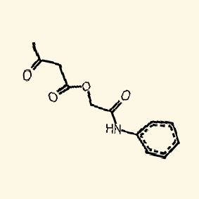 CC(=O)CC(=O)OCC(=O)Nc1ccccc1